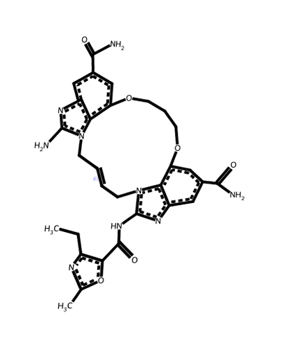 CCc1nc(C)oc1C(=O)Nc1nc2cc(C(N)=O)cc3c2n1C/C=C/Cn1c(N)nc2cc(C(N)=O)cc(c21)OCCCO3